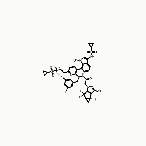 Cn1nc(NS(=O)(=O)C2CC2)c2cccc(-c3ccc(CCC(C)(C)S(=O)(=O)C4CC4)nc3[C@H](Cc3cc(F)cc(F)c3)NC(=O)Cn3nc(C(F)(F)F)c4c3C(F)(F)C3C[C@H]43)c21